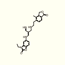 CCn1c(=O)oc2ccc(N/C=C(\C=N)CNCCc3ccc4c(c3C)COC4=O)cc21